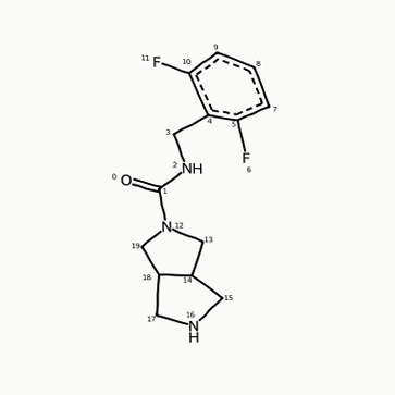 O=C(NCc1c(F)cccc1F)N1CC2CNCC2C1